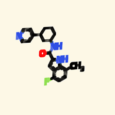 Cc1ccc(F)c2cc(C(=O)N[C@@H]3CCC[C@H](c4ccncc4)C3)[nH]c12